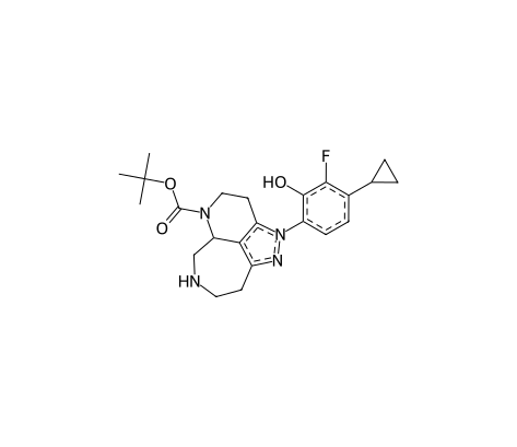 CC(C)(C)OC(=O)N1CCc2c3c(nn2-c2ccc(C4CC4)c(F)c2O)CCNCC31